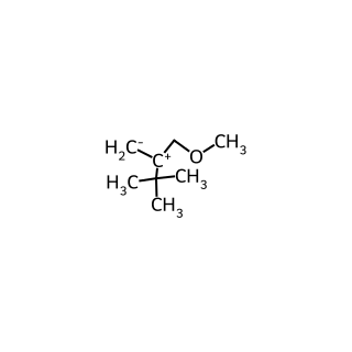 [CH2-][C+](COC)C(C)(C)C